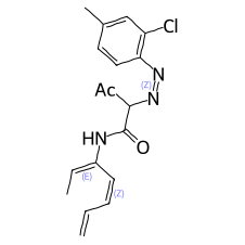 C=C/C=C\C(=C/C)NC(=O)C(/N=N\c1ccc(C)cc1Cl)C(C)=O